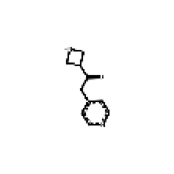 O=C(Cc1ccncc1)C1CNC1